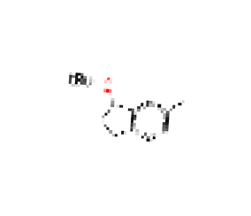 Cc1ccc2c(c1)C(OC(C)(C)C)CC2